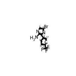 Nc1ncc(Br)nc1-c1ccc(C(F)(F)F)cc1